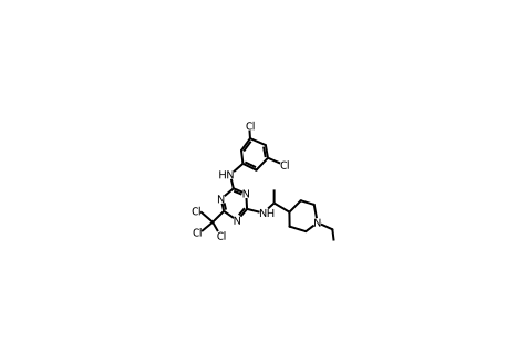 CCN1CCC(C(C)Nc2nc(Nc3cc(Cl)cc(Cl)c3)nc(C(Cl)(Cl)Cl)n2)CC1